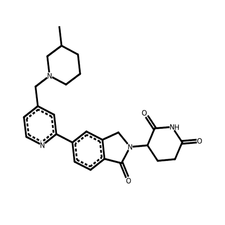 CC1CCCN(Cc2ccnc(-c3ccc4c(c3)CN(C3CCC(=O)NC3=O)C4=O)c2)C1